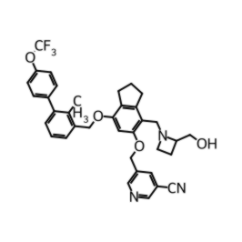 Cc1c(COc2cc(OCc3cncc(C#N)c3)c(CN3CCC3CO)c3c2CCC3)cccc1-c1ccc(OC(F)(F)F)cc1